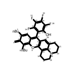 C=c1c(CCCC)cc2c(c1CCCC)Oc1c(cc3c4c1CCCN4CCC3)C=2c1c(O)c(F)c(F)c(F)c1F